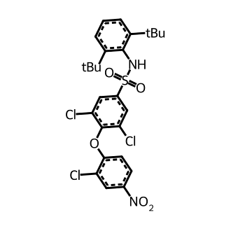 CC(C)(C)c1cccc(C(C)(C)C)c1NS(=O)(=O)c1cc(Cl)c(Oc2ccc([N+](=O)[O-])cc2Cl)c(Cl)c1